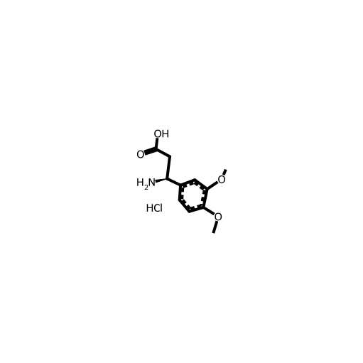 COc1ccc([C@@H](N)CC(=O)O)cc1OC.Cl